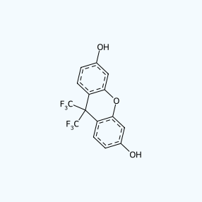 Oc1ccc2c(c1)Oc1cc(O)ccc1C2(C(F)(F)F)C(F)(F)F